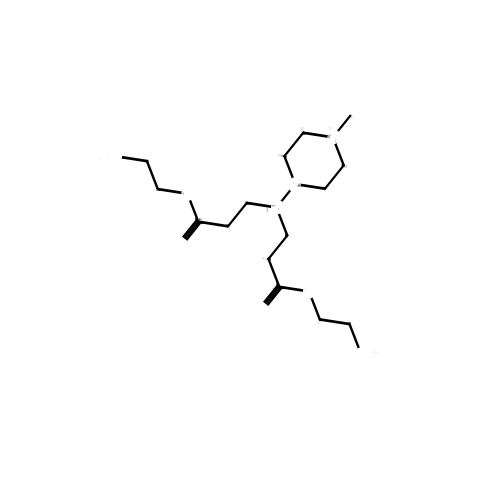 CCCCCCCCCCCCOC(=O)CCN(CCC(=O)OCCCCCCCCCCCC)N1CCN(C)CC1